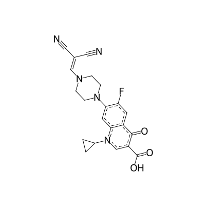 N#CC(C#N)=CN1CCN(c2cc3c(cc2F)c(=O)c(C(=O)O)cn3C2CC2)CC1